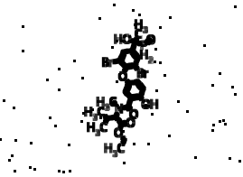 CCOC(=O)C(C(C)C)N(C)C(=O)c1cc(Oc2c(Br)cc(C(C)(O)[PH2]=O)cc2Br)ccc1O